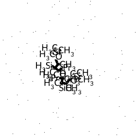 CC(CO[Si](C)(C)C)C(C)([SiH3])C(C)(OC(C)(C(C)C)C(C)([SiH3])C(C)CO[Si](C)(C)C)C(C)C